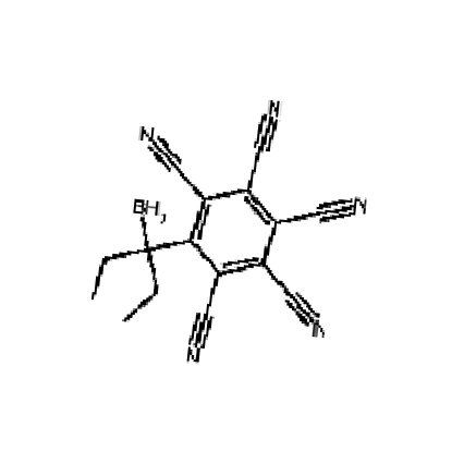 BC(CC)(CC)c1c(C#N)c(C#N)c(C#N)c(C#N)c1C#N